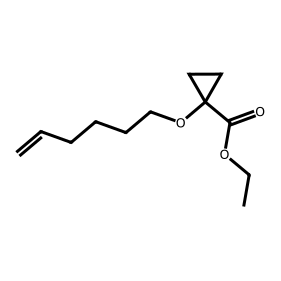 C=CCCCCOC1(C(=O)OCC)CC1